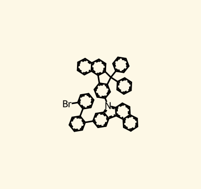 Brc1ccccc1-c1ccccc1-c1ccc2c3c4ccccc4ccc3n(-c3ccc4c(c3)C(c3ccccc3)(c3ccccc3)c3ccc5ccccc5c3-4)c2c1